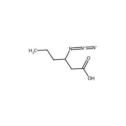 CCCC(CC(=O)O)N=[N+]=[N-]